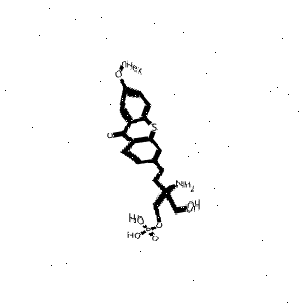 CCCCCCOc1ccc2sc3cc(CCC(N)(CO)COP(=O)(O)O)ccc3c(=O)c2c1